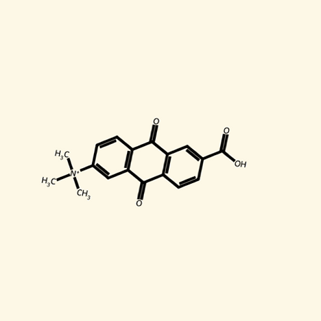 C[N+](C)(C)c1ccc2c(c1)C(=O)c1ccc(C(=O)O)cc1C2=O